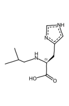 CC(C)CN[C@@H](Cc1c[nH]cn1)C(=O)O